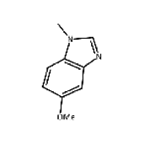 COc1ccc2c(c1)ncn2C